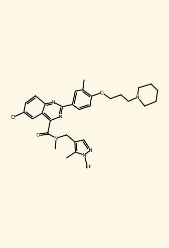 CCn1ncc(CN(C)C(=O)c2nc(-c3ccc(OCCCN4CCCCC4)c(C)c3)nc3ccc(Cl)cc23)c1C